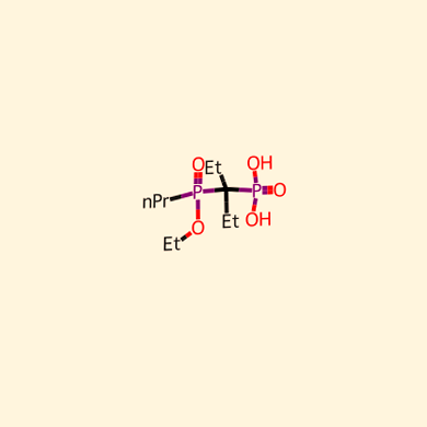 CCCP(=O)(OCC)C(CC)(CC)P(=O)(O)O